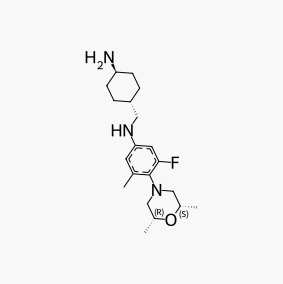 Cc1cc(NC[C@H]2CC[C@H](N)CC2)cc(F)c1N1C[C@@H](C)O[C@@H](C)C1